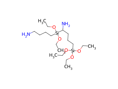 CCO[Si](CCCC(N)[Si](CCCCN)(OCC)OCC)(OCC)OCC